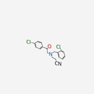 N#CCCN(CC(=O)c1ccc(Cl)cc1)Cc1ccccc1Cl